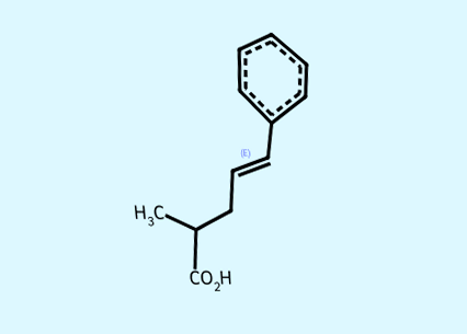 CC(C/C=C/c1ccccc1)C(=O)O